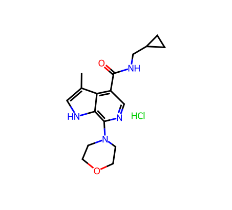 Cc1c[nH]c2c(N3CCOCC3)ncc(C(=O)NCC3CC3)c12.Cl